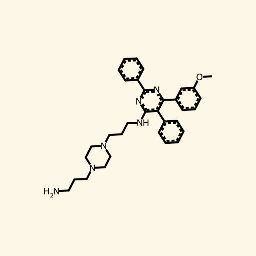 COc1cccc(-c2nc(-c3ccccc3)nc(NCCCN3CCN(CCCN)CC3)c2-c2ccccc2)c1